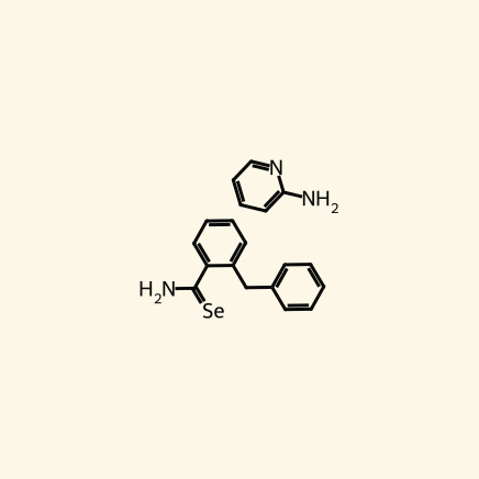 NC(=[Se])c1ccccc1Cc1ccccc1.Nc1ccccn1